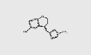 [C-]#[N+]c1ccc2c(n1)/C(=C/c1cn(C)cn1)CCO2